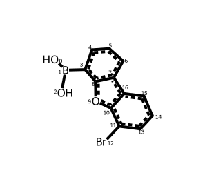 OB(O)c1cccc2c1oc1c(Br)cccc12